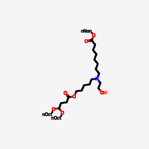 CCCCCCCCCOC(=O)CCCCCCCN(CCO)CCCCCOC(=O)CCC(OCCCCCCCC)OCCCCCCCC